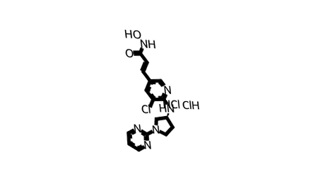 Cl.Cl.O=C(/C=C/c1cnc(N[C@@H]2CCN(c3ncccn3)C2)c(Cl)c1)NO